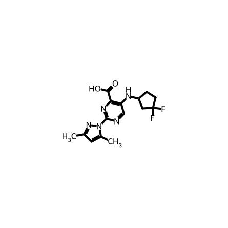 Cc1cc(C)n(-c2ncc(NC3CCC(F)(F)C3)c(C(=O)O)n2)n1